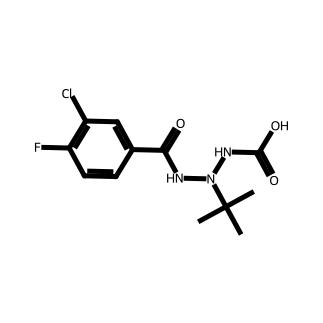 CC(C)(C)N(NC(=O)O)NC(=O)c1ccc(F)c(Cl)c1